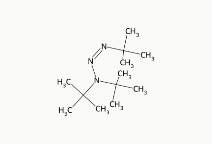 CC(C)(C)/N=N\N(C(C)(C)C)C(C)(C)C